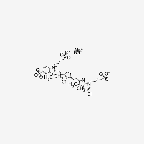 CC1(C)C2=CC(Cl)=CN(CCCCS(=O)(=O)[O-])C2=N/C1=C/C=C1\CCC(/C=C/C2=[N+](CCCCS(=O)(=O)[O-])c3ccc(S(=O)(=O)[O-])cc3C2(C)C)=C1Cl.[Na+].[Na+]